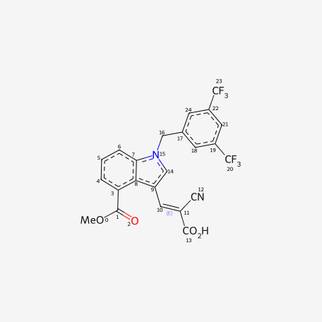 COC(=O)c1cccc2c1c(/C=C(\C#N)C(=O)O)cn2Cc1cc(C(F)(F)F)cc(C(F)(F)F)c1